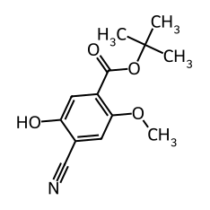 COc1cc(C#N)c(O)cc1C(=O)OC(C)(C)C